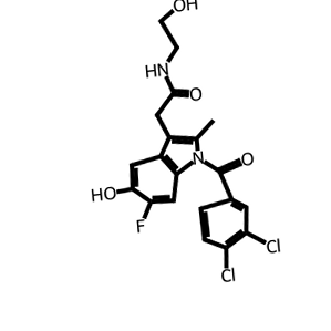 Cc1c(CC(=O)NCCO)c2cc(O)c(F)cc2n1C(=O)c1ccc(Cl)c(Cl)c1